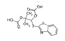 CC(C)(OC(=O)O)C(OC(=O)O)Sc1nc2ccccc2s1